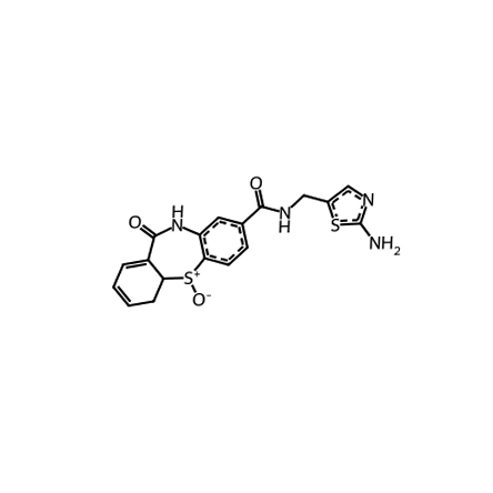 Nc1ncc(CNC(=O)c2ccc3c(c2)NC(=O)C2=CC=CCC2[S+]3[O-])s1